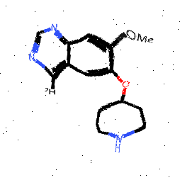 [2H]c1ncnc2cc(OC)c(OC3CCNCC3)cc12